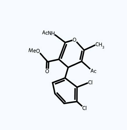 COC(=O)C1=C(NC(C)=O)OC(C)=C(C(C)=O)C1c1cccc(Cl)c1Cl